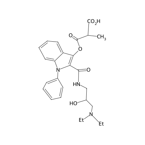 CCN(CC)CC(O)CNC(=O)c1c(OC(=O)C(C)C(=O)O)c2ccccc2n1-c1ccccc1